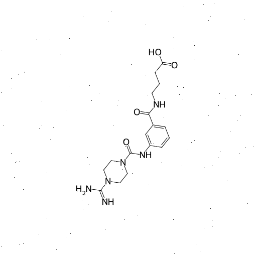 N=C(N)N1CCN(C(=O)Nc2cccc(C(=O)NCCCC(=O)O)c2)CC1